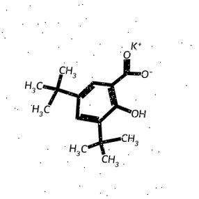 CC(C)(C)c1cc(C(=O)[O-])c(O)c(C(C)(C)C)c1.[K+]